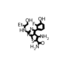 CC[C@@H](CO)Nc1nc(-c2cccc(O)c2F)c2c(N)c(C(N)=O)sc2n1